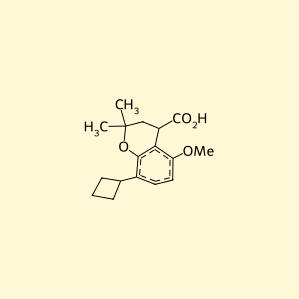 COc1ccc(C2CCC2)c2c1C(C(=O)O)CC(C)(C)O2